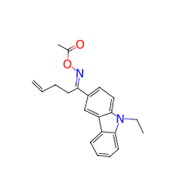 C=CCC/C(=N\OC(C)=O)c1ccc2c(c1)c1ccccc1n2CC